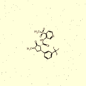 CN1C[C@H](c2cccc(C(F)(F)F)c2)[C@@H](C(=O)Nc2cnccc2S(C)(=O)=O)C1=O